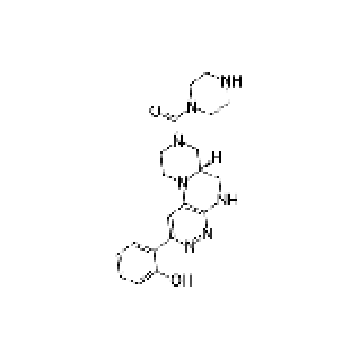 O=C(N1CCNCC1)N1CCN2c3cc(-c4ccccc4O)nnc3NC[C@H]2C1